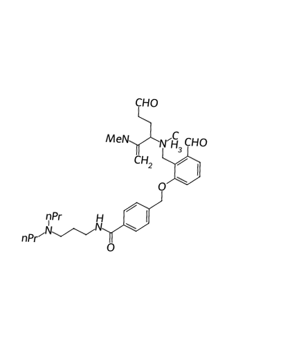 C=C(NC)C(CCC=O)N(C)Cc1c(C=O)cccc1OCc1ccc(C(=O)NCCCN(CCC)CCC)cc1